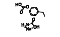 CCc1ccccc1.NC(=O)O.O=[S-](=O)O.[Na+]